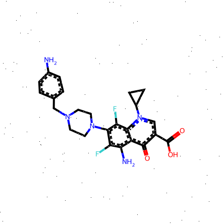 Nc1ccc(CN2CCN(c3c(F)c(N)c4c(=O)c(C(=O)O)cn(C5CC5)c4c3F)CC2)cc1